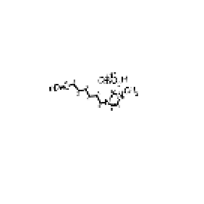 CCCCCCCCCCCCCCCCN1C=CN(C)C1.O=S(=O)([O-])O.[H+]